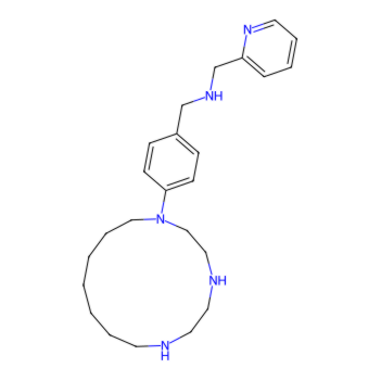 c1ccc(CNCc2ccc(N3CCCCCCCNCCNCC3)cc2)nc1